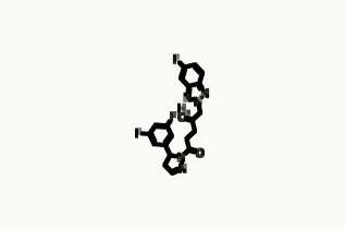 C=C(CCC(=O)N1N=CCC1c1cc(F)cc(F)c1)Cn1nc2ccc(F)cc2n1